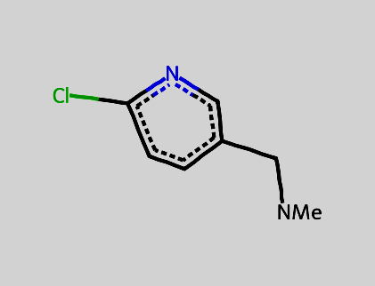 [CH2]NCc1ccc(Cl)nc1